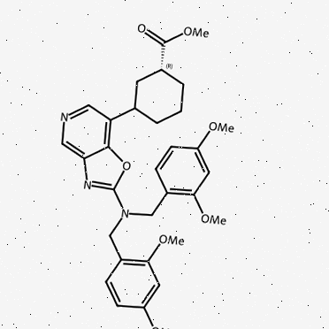 COC(=O)[C@@H]1CCCC(c2cncc3nc(N(Cc4ccc(OC)cc4OC)Cc4ccc(OC)cc4OC)oc23)C1